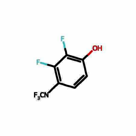 Oc1ccc(NC(F)(F)F)c(F)c1F